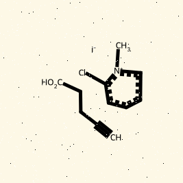 C#CCCC(=O)O.C[n+]1ccccc1Cl.[I-]